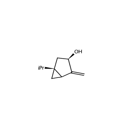 C=C1C2C[C@]2(C(C)C)C[C@H]1O